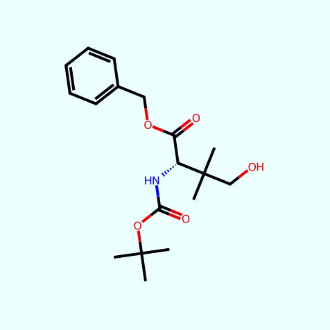 CC(C)(C)OC(=O)N[C@H](C(=O)OCc1ccccc1)C(C)(C)CO